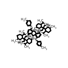 Cc1ccc(Sc2ccc(NCC(CO)(C3CC(C)CCC3C(C)C)C3CC(C)CCC3C(C)C)c3c2C(=O)c2c(NCC(CO)(C4CC(C)CCC4C(C)C)C4CC(C)CCC4C(C)C)ccc(Sc4ccc(C)cc4)c2C3=O)cc1